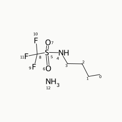 CCCCNS(=O)(=O)C(F)(F)F.N